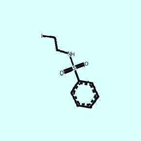 O=S(=O)(NCCI)c1ccccc1